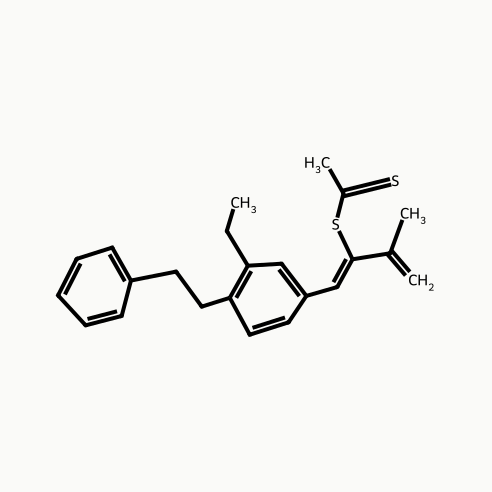 C=C(C)/C(=C/c1ccc(CCc2ccccc2)c(CC)c1)SC(C)=S